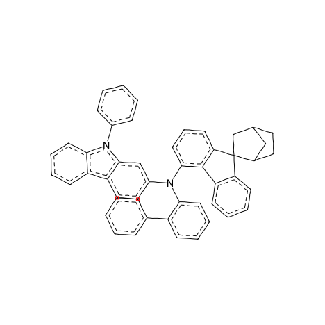 c1ccc(-c2ccccc2N(c2ccc3c4ccccc4n(-c4ccccc4)c3c2)c2cccc3c2-c2ccccc2C32CC3CCC2C3)cc1